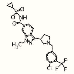 Cn1nc(C2CCN(Cc3ccc(Cl)c(C(F)(F)F)c3)C2)c2ccc(C(=O)NS(=O)(=O)C3CC3)cc21